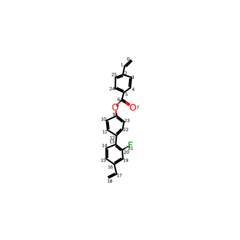 C=Cc1ccc(C(=O)Oc2ccc(-c3ccc(C=C)cc3F)cc2)cc1